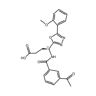 COc1ccccc1-c1nnc([C@H](CCC(=O)O)NC(=O)c2cccc(C(C)=O)c2)o1